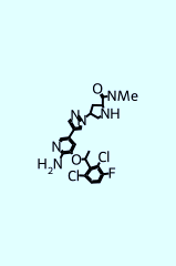 CNC(=O)C1CC(n2cc(-c3cnc(N)c(OC(C)c4c(Cl)ccc(F)c4Cl)c3)cn2)CN1